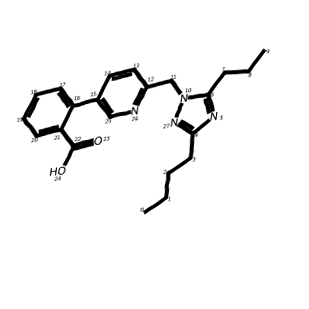 CCCCc1nc(CCC)n(Cc2ccc(-c3ccccc3C(=O)O)cn2)n1